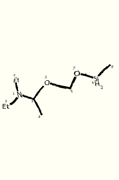 CCN(CC)C(C)OCO[SiH2]C